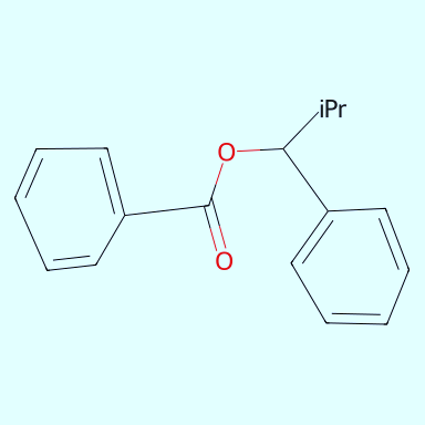 CC(C)C(OC(=O)c1ccccc1)c1ccccc1